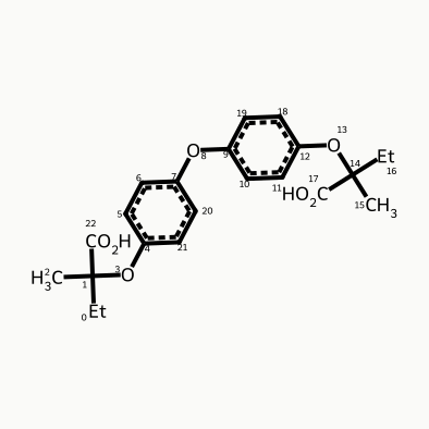 CCC(C)(Oc1ccc(Oc2ccc(OC(C)(CC)C(=O)O)cc2)cc1)C(=O)O